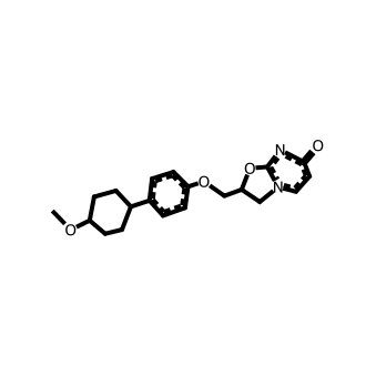 COC1CCC(c2ccc(OCC3Cn4ccc(=O)nc4O3)cc2)CC1